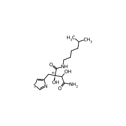 CC(C)CCCCNC(=O)[C@@](O)(Cc1cscn1)C(O)C(N)=O